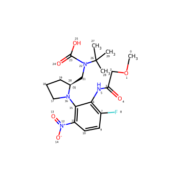 COCC(=O)Nc1c(F)ccc([N+](=O)[O-])c1N1CCC[C@H]1CN(C(=O)O)C(C)(C)C